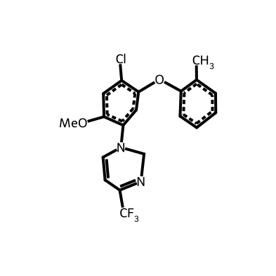 COc1cc(Cl)c(Oc2ccccc2C)cc1N1C=CC(C(F)(F)F)=NC1